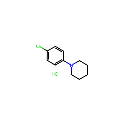 Cl.Clc1ccc(N2CCCCC2)cc1